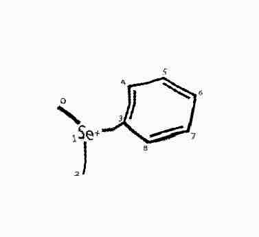 C[Se+](C)c1ccccc1